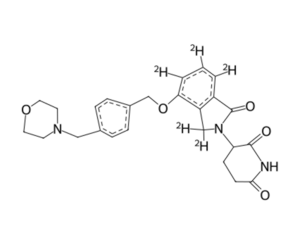 [2H]c1c([2H])c(OCc2ccc(CN3CCOCC3)cc2)c2c(c1[2H])C(=O)N(C1CCC(=O)NC1=O)C2([2H])[2H]